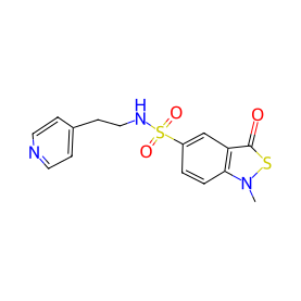 Cn1sc(=O)c2cc(S(=O)(=O)NCCc3ccncc3)ccc21